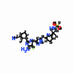 Cc1c(C#N)cccc1-c1nc(N)c(F)c(-c2cn(Cc3cccc(C(C)(C)CNS(C)(=O)=O)n3)nn2)n1